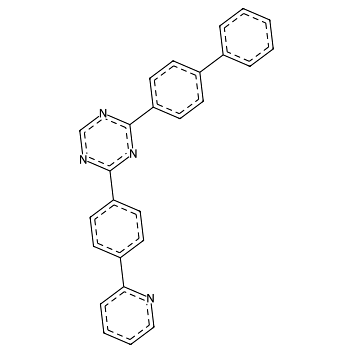 c1ccc(-c2ccc(-c3ncnc(-c4ccc(-c5ccccn5)cc4)n3)cc2)cc1